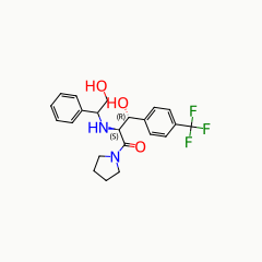 O=C([C@@H](NC(CO)c1ccccc1)[C@H](O)c1ccc(C(F)(F)F)cc1)N1CCCC1